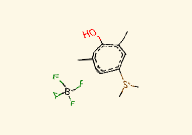 Cc1cc([S+](C)C)cc(C)c1O.F[B-](F)(F)F